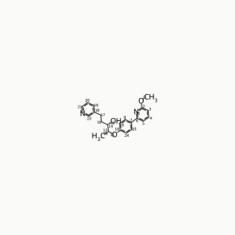 COc1cccc(-c2ccc(O[C@@H](C)[C@H](O)CCc3cccnc3)cc2)n1